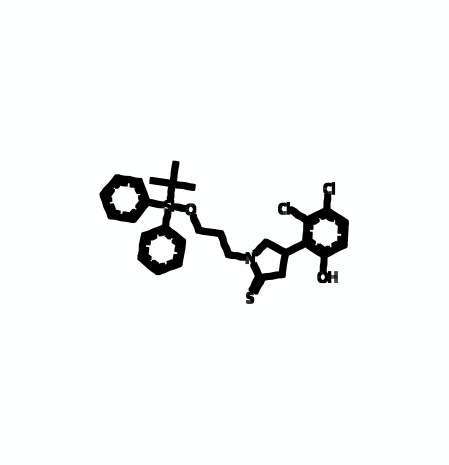 CC(C)(C)[Si](OCCCN1CC(c2c(O)ccc(Cl)c2Cl)CC1=S)(c1ccccc1)c1ccccc1